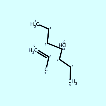 C=CCl.CCCCCCC.Cl